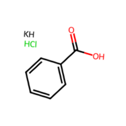 Cl.O=C(O)c1ccccc1.[KH]